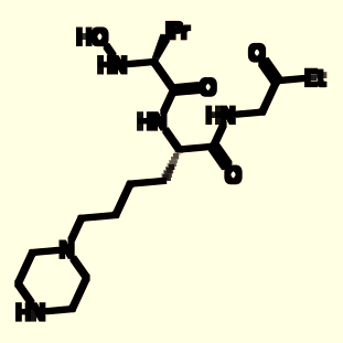 CCC(=O)CNC(=O)[C@H](CCCCN1CCNCC1)NC(=O)[C@@H](NO)C(C)C